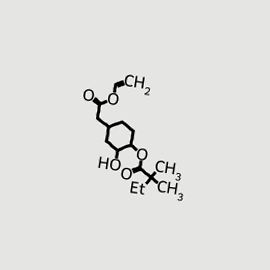 C=COC(=O)CC1CCC(OC(=O)C(C)(C)CC)C(O)C1